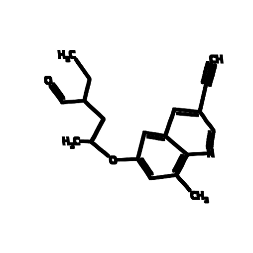 C#Cc1cnc2c(C)cc(OC(C)CC(C=O)CC)cc2c1